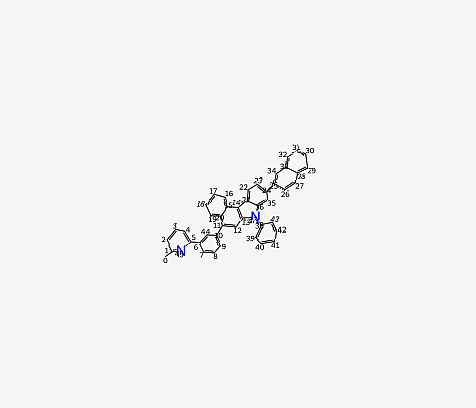 Cc1cccc(-c2cccc(-c3cc4c(c5ccccc35)c3ccc(-c5ccc6ccccc6c5)cc3n4-c3ccccc3)c2)n1